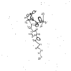 CCCCCCCOc1ccc(CCC2(C)CO[S@@](=O)N2C(=O)OC(C)(C)C)cc1